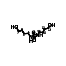 O=S(=O)(NCCCCO)NCCCCO